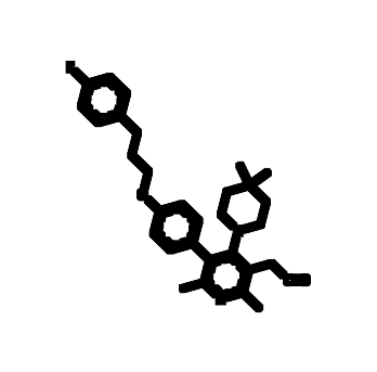 Cc1nc(C)c(-c2ccc(OCCCc3ccc(F)cc3)cc2)c(N2CCC(C)(C)CC2)c1CC=O